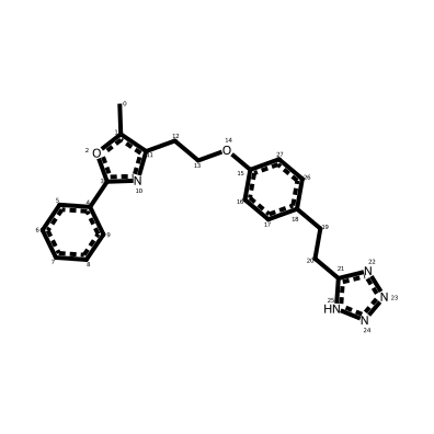 Cc1oc(-c2ccccc2)nc1CCOc1ccc(CCc2nnn[nH]2)cc1